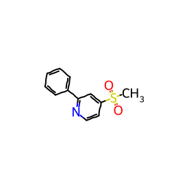 CS(=O)(=O)c1ccnc(-c2ccccc2)c1